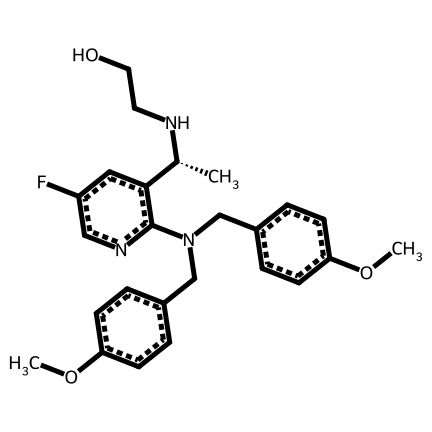 COc1ccc(CN(Cc2ccc(OC)cc2)c2ncc(F)cc2[C@@H](C)NCCO)cc1